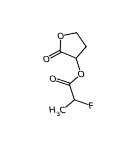 CC(F)C(=O)OC1CCOC1=O